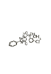 Cc1c(Cl)cccc1N(C)C(=O)c1cc(=O)n2nc(-c3ccccc3)nc2[nH]1